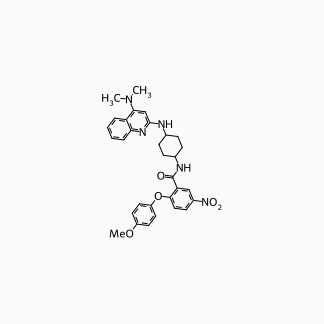 COc1ccc(Oc2ccc([N+](=O)[O-])cc2C(=O)NC2CCC(Nc3cc(N(C)C)c4ccccc4n3)CC2)cc1